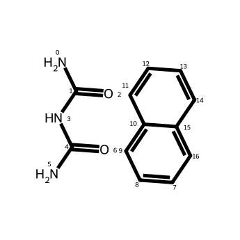 NC(=O)NC(N)=O.c1ccc2ccccc2c1